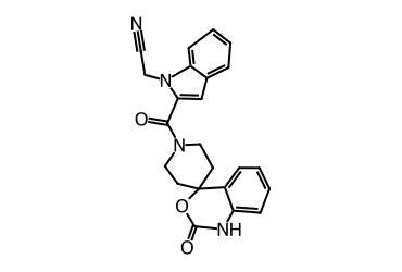 N#CCn1c(C(=O)N2CCC3(CC2)OC(=O)Nc2ccccc23)cc2ccccc21